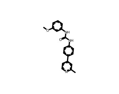 COc1cccc(NC(=O)Nc2ccc(-c3ccnc(C)c3)cc2)c1